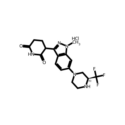 Cl.Cn1nc(C2CCC(=O)NC2=O)c2ccc(N3CCN[C@H](C(F)(F)F)C3)cc21